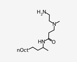 CCCCCCCCCCC(C)NC(=O)CCN(C)CCN